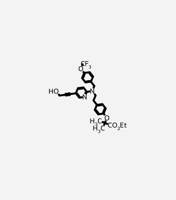 CCOC(=O)C(C)(C)Oc1ccc(CCN(Cc2ccc(OC(F)(F)F)cc2)c2ccc(C#CCO)cn2)cc1